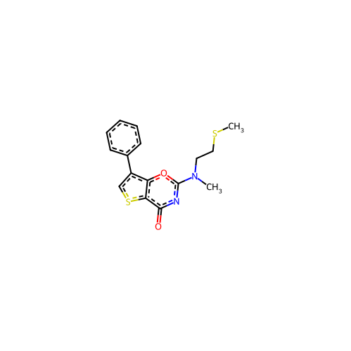 CSCCN(C)c1nc(=O)c2scc(-c3ccccc3)c2o1